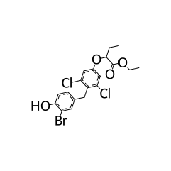 CCOC(=O)C(CC)Oc1cc(Cl)c(Cc2ccc(O)c(Br)c2)c(Cl)c1